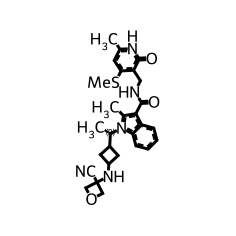 CSc1cc(C)[nH]c(=O)c1CNC(=O)c1c(C)n([C@H](C)C2CC(NC3(C#N)COC3)C2)c2ccccc12